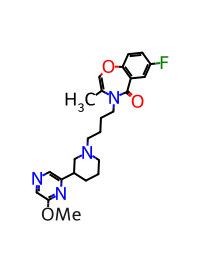 COc1cncc(C2CCCN(CCCCN3C(=O)c4cc(F)ccc4OC=C3C)C2)n1